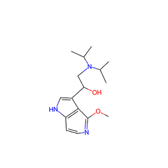 COc1nccc2[nH]cc(C(O)CN(C(C)C)C(C)C)c12